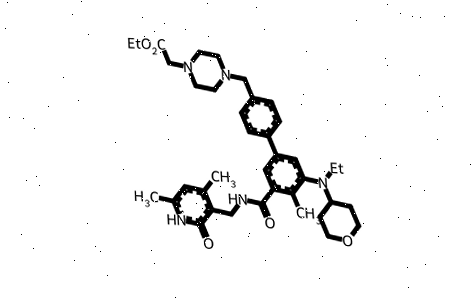 CCOC(=O)CN1CCN(Cc2ccc(-c3cc(C(=O)NCc4c(C)cc(C)[nH]c4=O)c(C)c(N(CC)C4CCOCC4)c3)cc2)CC1